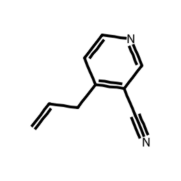 C=CCc1ccncc1C#N